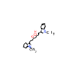 Cn1cc(/C=C/C(=O)/C=C(O)/C=C/c2cn(C)c3ccccc23)c2ccccc21